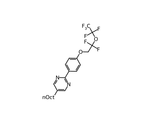 CCCCCCCCc1cnc(-c2ccc(OCC(F)(F)OC(F)(F)C(F)(F)F)cc2)nc1